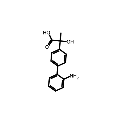 CC(O)(C(=O)O)c1ccc(-c2ccccc2N)cc1